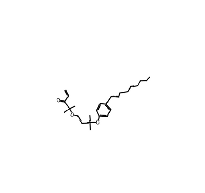 C=CC(=O)C(C)(C)OCCC(C)(C)Oc1ccc(CCCCCCCCC)cc1